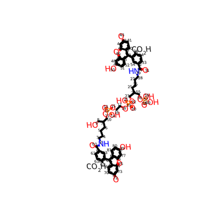 O=C(NCCCCC(CO)COP(=O)(O)OCCOP(=O)(O)OCC(CCCCNC(=O)c1ccc(C(=O)O)c(-c2c3ccc(=O)cc-3oc3cc(O)ccc23)c1)COP(=O)(O)O)c1ccc(C(=O)O)c(-c2c3ccc(=O)cc-3oc3cc(O)ccc23)c1